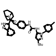 Cc1ccc(-n2nc(C(C)(C)C)cc2NC(=O)Nc2ccc(CC3CC4CCC(C3)N4C(=O)c3[nH]nc4ccccc34)cc2)cc1